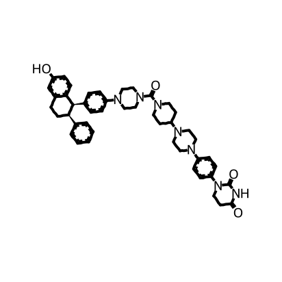 O=C1CCN(c2ccc(N3CCN(C4CCN(C(=O)N5CCN(c6ccc([C@@H]7c8ccc(O)cc8CC[C@@H]7c7ccccc7)cc6)CC5)CC4)CC3)cc2)C(=O)N1